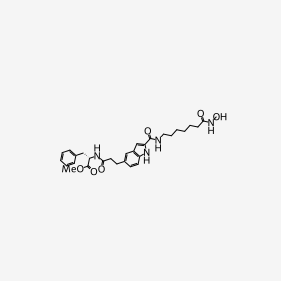 COC(=O)[C@H](Cc1ccccc1)NC(=O)CCc1ccc2[nH]c(C(=O)NCCCCCCC(=O)NO)cc2c1